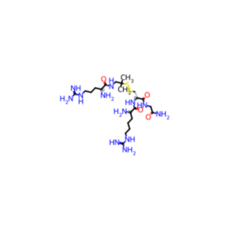 CC(C)(CNC(=O)[C@H](N)CCCNC(=N)N)SSC[C@@H](NC(=O)[C@H](N)CCCCNC(=N)N)C(=O)NCC(N)=O